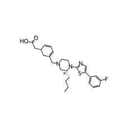 CCCC[C@@H]1CN(CC2=CC=CC(CC(=O)O)C2)CCN1c1ncc(-c2cccc(F)c2)s1